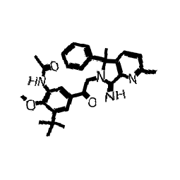 COc1c(NC(C)=O)cc(C(=O)CN2C(=N)c3nc(C)ccc3C2(C)c2ccccc2)cc1C(C)(C)C